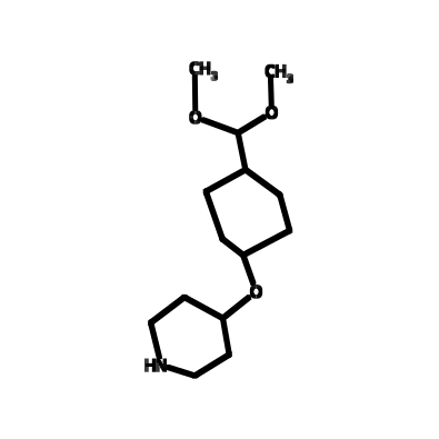 COC(OC)C1CCC(OC2CCNCC2)CC1